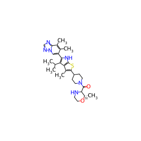 Cc1c(-c2[nH]c3sc(C4CCN(C(=O)C5NCCO[C@H]5C)CC4)c(C)c3c2C(C)C)cn2ncnc2c1C